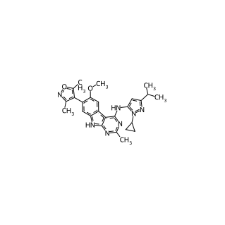 COc1cc2c(cc1-c1c(C)noc1C)[nH]c1nc(C)nc(Nc3cc(C(C)C)nn3C3CC3)c12